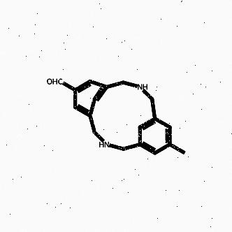 Cc1cc2cc(c1)CNCc1cc(C=O)cc(c1)CNC2